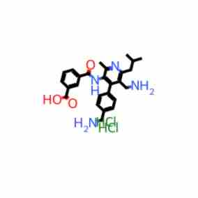 Cc1nc(CC(C)C)c(CN)c(-c2ccc(CN)cc2)c1NC(=O)c1cccc(C(=O)O)c1.Cl.Cl